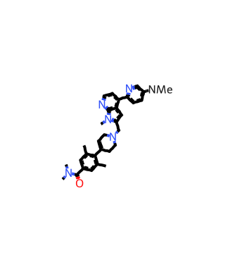 CNc1ccc(-c2ccnc3c2cc(CN2CC=C(c4c(C)cc(C(=O)N(C)C)cc4C)CC2)n3C)nc1